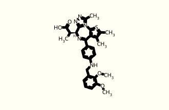 COc1cccc(CNc2ccc(C3=N[C@@H](C(C)C(=O)O)c4nnc(C)n4-c4sc(C)c(C)c43)cc2)c1OC